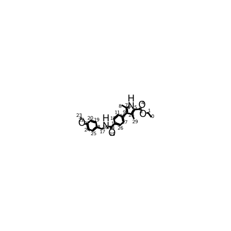 CCOC(=O)c1[nH]c(C)c(-c2ccc(C(=O)NCc3ccc(OC)cc3)cc2)c1C